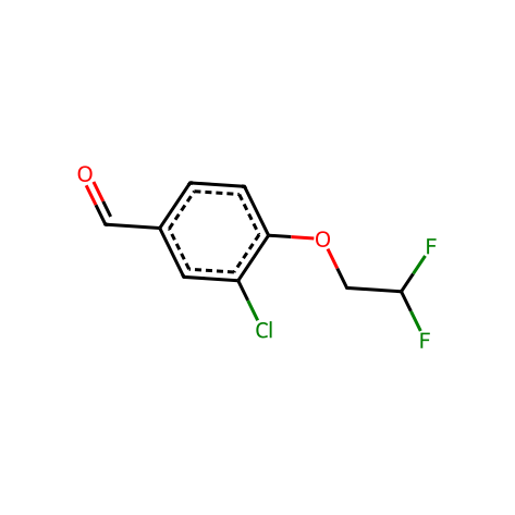 O=Cc1ccc(OCC(F)F)c(Cl)c1